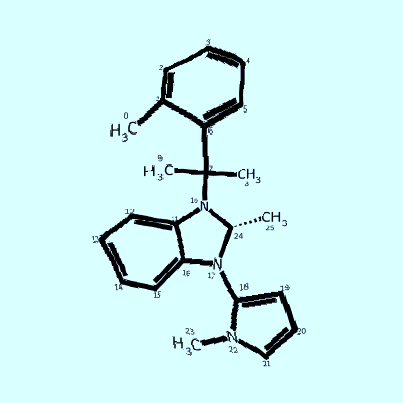 Cc1ccccc1C(C)(C)N1c2ccccc2N(c2cccn2C)[C@H]1C